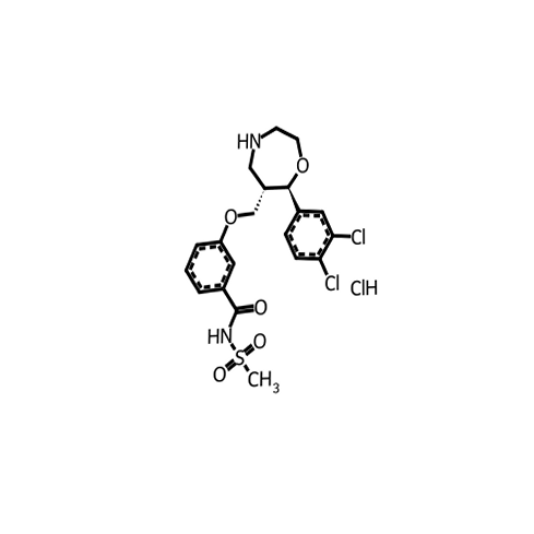 CS(=O)(=O)NC(=O)c1cccc(OC[C@@H]2CNCCO[C@H]2c2ccc(Cl)c(Cl)c2)c1.Cl